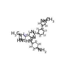 CN/C=C(\C=N)c1cnc(-c2cccc(-c3cnn(C)c3)c2)nc1N[C@H]1CC[C@@H](N)CC1